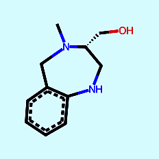 CN1Cc2ccccc2NC[C@H]1CO